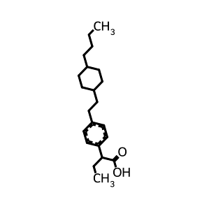 CCCCC1CCC(CCc2ccc(C(CC)C(=O)O)cc2)CC1